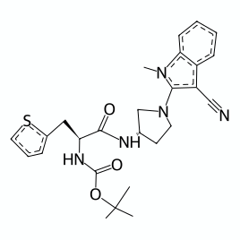 Cn1c(N2CC[C@H](NC(=O)[C@H](Cc3cccs3)NC(=O)OC(C)(C)C)C2)c(C#N)c2ccccc21